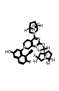 [2H]C1([2H])CC[C@@]2(C([2H])([2H])Oc3nc4c(c(N5C[C@H]6CC[C@@H](C5)N6)n3)CCN(c3cc(O)cc5ccc(F)c(C#C)c35)C4)C[C@@]([2H])(F)CN12